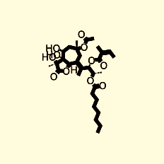 C/C=C(/C)C(=O)O[C@@H](/C(C)=C1\C[C@@](C)(OC(C)=O)C[C@H](O)[C@@]2(O)[C@H]1OC(=O)[C@@]2(C)O)[C@H](C)OC(=O)CCCCCCC